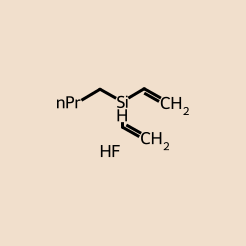 C=C[SiH](C=C)CCCC.F